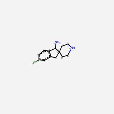 NC1c2ccc(F)cc2CC12CCNCC2